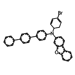 BrC1=CCC(N(c2ccc(-c3ccc(-c4ccccc4)cc3)cc2)c2ccc3c(c2)oc2ccccc23)C=C1